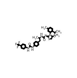 Cc1ccc(C(C)C)c(N2C(=O)CS/C2=N\C(=O)NC(C)Cc2ccc(NC(=O)Nc3ccc(C(F)(F)F)cc3)cc2)c1